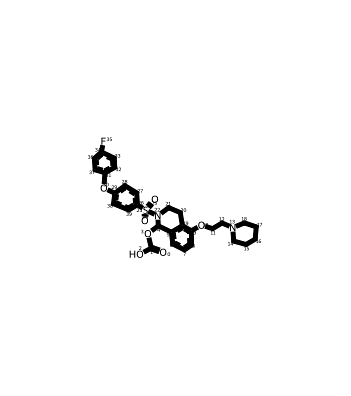 O=C(O)OC1c2cccc(OCCN3CCCCC3)c2CCN1S(=O)(=O)c1ccc(Oc2ccc(F)cc2)cc1